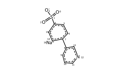 O=S(=O)([O-])c1ccc(-c2cccnc2)cc1.[Na+]